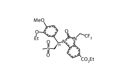 CCOC(=O)c1ccc2c(c1)n(CC(F)(F)F)c(=O)n2[C@@H](CS(C)(=O)=O)c1ccc(OC)c(OCC)c1